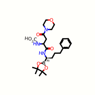 CC1(C)OB([C@H](CCCc2ccccc2)NC(=O)C(CC(=O)N2CCOCC2)NC(=O)O)OC1(C)C